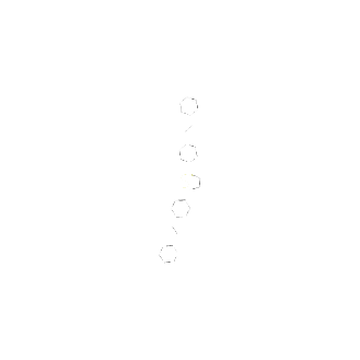 C(=C\c1ccc(-c2ccc(-c3ccc(/C=C/c4ccccc4)cc3)s2)cc1)/c1ccccc1